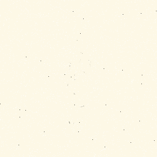 O=P(O)(O)CP(=O)(O)OC[C@H]1O[C@@H](n2cnc3c(N4CCC5(CCCC5)CC4)nc(Cl)nc32)[C@@H](O)C1O